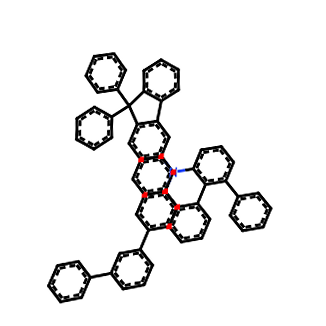 c1ccc(-c2cccc(-c3ccc(N(c4ccc5c(c4)-c4ccccc4C5(c4ccccc4)c4ccccc4)c4cccc(-c5ccccc5)c4-c4ccccc4-c4ccccc4)cc3)c2)cc1